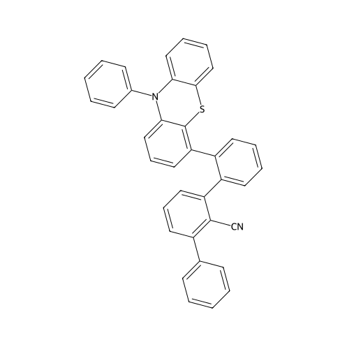 N#Cc1c(-c2ccccc2)cccc1-c1ccccc1-c1cccc2c1Sc1ccccc1N2c1ccccc1